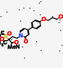 CNC(=O)C(C)(CCn1ccc(-c2ccc(OCCCO)cc2)cc1=O)S(C)(=O)=O